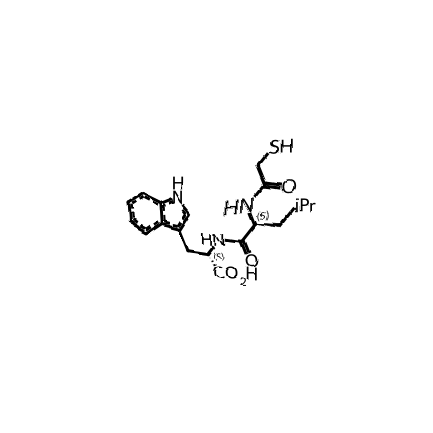 CC(C)C[C@H](NC(=O)CS)C(=O)N[C@@H](Cc1c[nH]c2ccccc12)C(=O)O